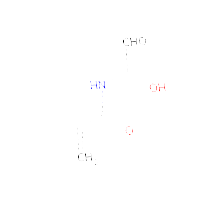 C=CC(=O)NC(O)C=O